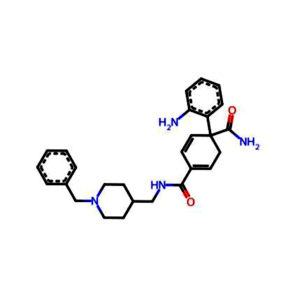 NC(=O)C1(c2ccccc2N)C=CC(C(=O)NCC2CCN(Cc3ccccc3)CC2)=CC1